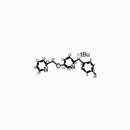 CC(C)(C)[C@H](c1ccc(I)cc1)c1ccc(OCc2ccccn2)cn1